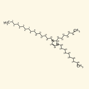 CCCCCCCCCCCCCCCCN1C=CN(CCCCCCCCCC)C1CCCCCCC